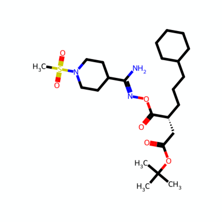 CC(C)(C)OC(=O)C[C@@H](CCCC1CCCCC1)C(=O)O/N=C(\N)C1CCN(S(C)(=O)=O)CC1